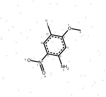 COc1cc(N)c([N+](=O)[O-])cc1I